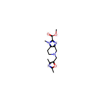 COC(=O)c1nc2c(n1C)CCN(Cc1oc(C)nc1C)C2